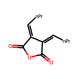 CCCC=C1C(=O)OC(=O)C1=CCCC